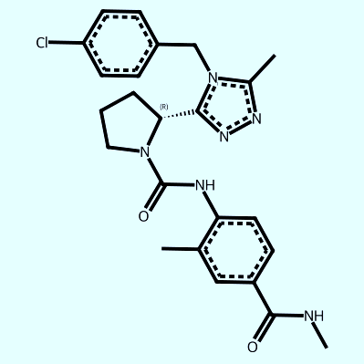 CNC(=O)c1ccc(NC(=O)N2CCC[C@@H]2c2nnc(C)n2Cc2ccc(Cl)cc2)c(C)c1